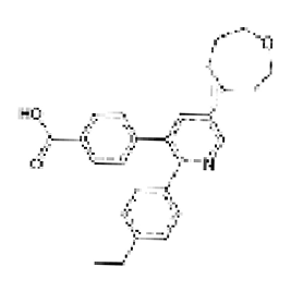 CCc1ccc(-c2ncc([C@@H]3CCCOCC3)cc2-c2ccc(C(=O)O)cc2)cc1